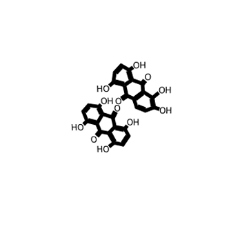 O=C1c2c(O)ccc(O)c2C(=O)c2c(O)ccc(O)c21.O=C1c2ccc(O)c(O)c2C(=O)c2c(O)ccc(O)c21